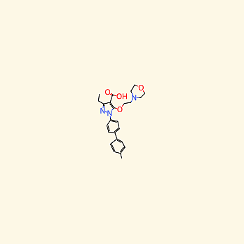 CCc1nn(-c2ccc(-c3ccc(C)cc3)cc2)c(OCCN2CCOCC2)c1C(=O)O